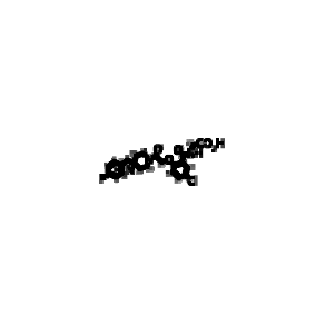 NC1(Cc2ccc(F)cc2)CCN(C(=O)COc2ccc(Cl)cc2C(=O)NCC(=O)O)CC1